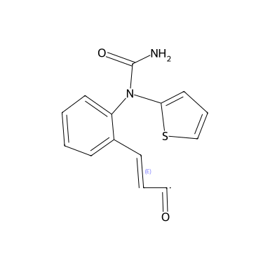 NC(=O)N(c1cccs1)c1ccccc1/C=C/[C]=O